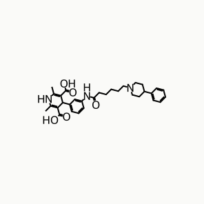 CC1=C(C(=O)O)C(c2cccc(NC(=O)CCCCCN3CCC(c4ccccc4)CC3)c2)C(C(=O)O)=C(C)N1